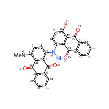 CNc1ccc(N(N)c2ccc(Br)c3c2C(=O)c2ccccc2C3=O)c2c1C(=O)c1ccccc1C2=O